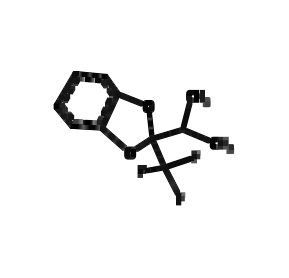 CC(C)C1(C(F)(F)F)Oc2ccccc2O1